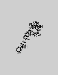 Cc1c(OCC2CNC(C3CCCCCC3)O2)ccc2c1CCN(C[C@@H](O)CNC(=O)c1cc(N[C@H]3C[C@H](C(=O)N4CCC4)C3)ncn1)C2